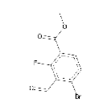 COC(=O)c1ccc(Br)c(C=O)c1F